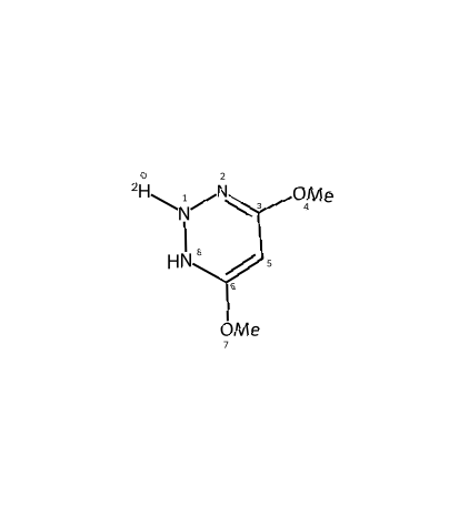 [2H]N1N=C(OC)C=C(OC)N1